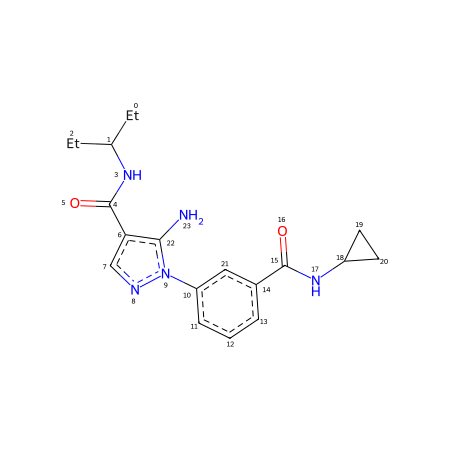 CCC(CC)NC(=O)c1cnn(-c2cccc(C(=O)NC3CC3)c2)c1N